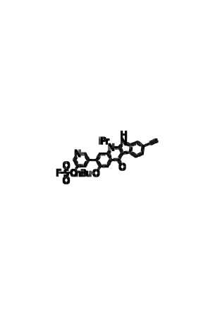 C#Cc1ccc2c(c1)[nH]c1c2c(=O)c2cc(OCCCC)c(-c3cncc(OS(=O)(=O)F)c3)cc2n1C(C)C